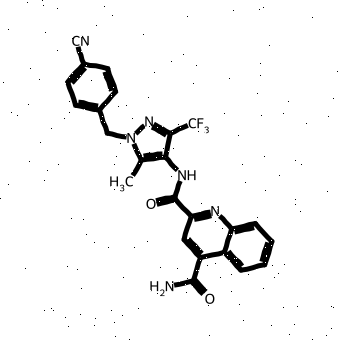 Cc1c(NC(=O)c2cc(C(N)=O)c3ccccc3n2)c(C(F)(F)F)nn1Cc1ccc(C#N)cc1